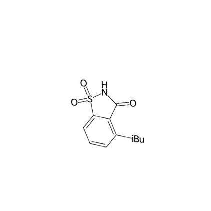 CCC(C)c1cccc2c1C(=O)NS2(=O)=O